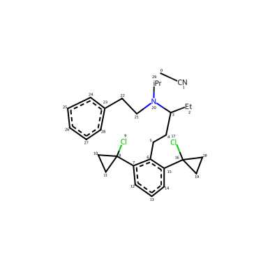 CC#N.CCC(CCc1c(C2(Cl)CC2)cccc1C1(Cl)CC1)N(CCc1ccccc1)C(C)C